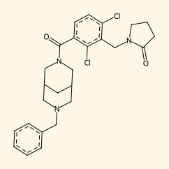 O=C1CCCN1Cc1c(Cl)ccc(C(=O)N2CC3CC(CN(Cc4ccccc4)C3)C2)c1Cl